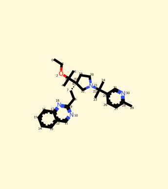 CCOC(C)(C)[C@@]1(CCc2ncc3ccccc3n2)CCN(C(C)(C)c2ccc(C)nc2)C1